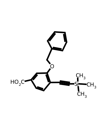 C[Si](C)(C)C#Cc1ccc(C(=O)O)cc1OCc1ccccc1